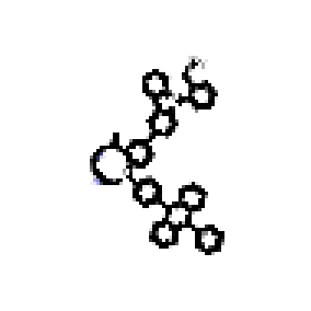 C=C1/C=C\C=C/CN(c2ccc(-c3c4ccccc4c(-c4ccccc4)c4ccccc34)cc2)c2ccc(-c3ccc4c(c3)c3ccccc3n4-c3ccccc3CC(C)C)cc21